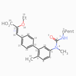 CCCCCNC(=O)N(C)c1ccc(C)c(-c2ccc(/C=C(\OCC)C(=O)O)cc2)c1